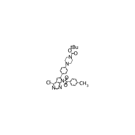 Cc1ccc(S(=O)(=O)n2c(-c3ccc(N4CCN(C(=O)OC(C)(C)C)CC4)cc3)cc3c(Cl)ncnc32)cc1